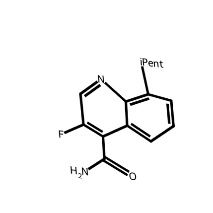 CCCC(C)c1cccc2c(C(N)=O)c(F)cnc12